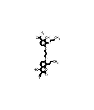 CCCOc1c(OCCCOc2ccc3c(O)c(C#N)c(=O)oc3c2CCC)ccc(C(C)=O)c1O